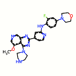 COc1cncc2nc(-c3ccnc(Nc4ccc(N5CCOCC5)cc4F)c3)nc(N3CCNCC3)c12